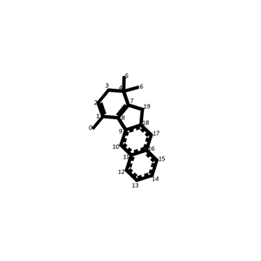 CC1=CCC(C)(C)C2=C1c1cc3ccccc3cc1C2